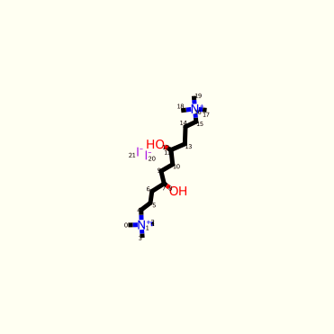 C[N+](C)(C)CCCC(O)CCC(O)CCC[N+](C)(C)C.[I-].[I-]